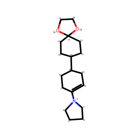 C1=C(N2CCCC2)CCC(C2CCC3(CC2)OCCO3)C1